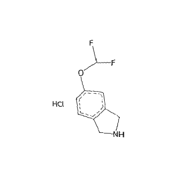 Cl.FC(F)Oc1ccc2c(c1)CNC2